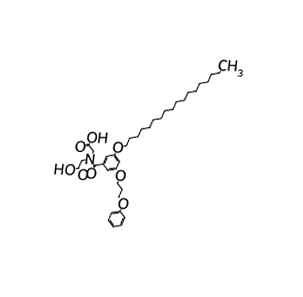 CCCCCCCCCCCCCCCCCCOc1cc(OCCCOc2ccccc2)cc(C(=O)N(CC(=O)O)CC(=O)O)c1